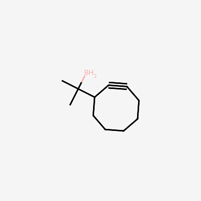 BC(C)(C)C1C#CCCCCC1